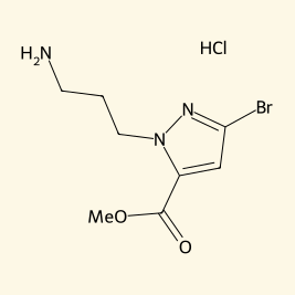 COC(=O)c1cc(Br)nn1CCCN.Cl